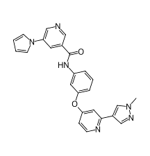 Cn1cc(-c2cc(Oc3cccc(NC(=O)c4cncc(-n5cccc5)c4)c3)ccn2)cn1